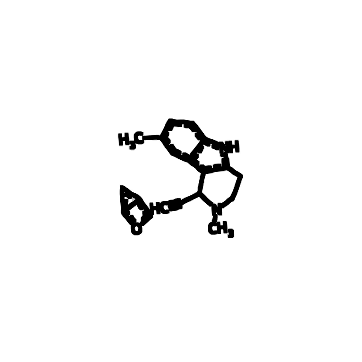 C#CC1c2c([nH]c3ccc(C)cc23)CCN1C.c1oc2cc1-2